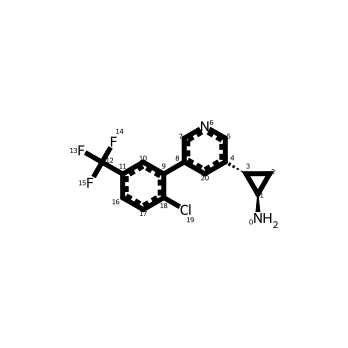 N[C@@H]1C[C@H]1c1cncc(-c2cc(C(F)(F)F)ccc2Cl)c1